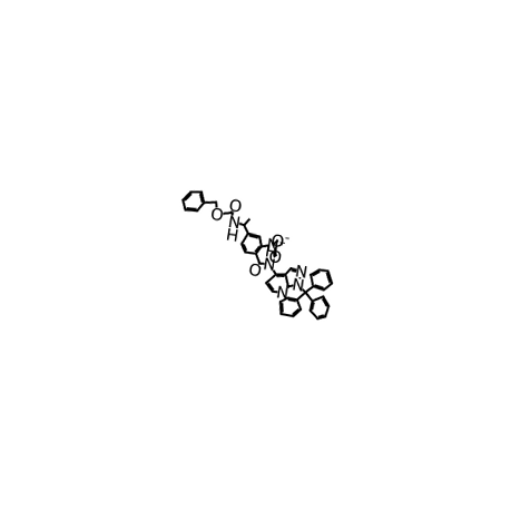 CC(NC(=O)OCc1ccccc1)c1ccc(C(=O)Nc2ccnc3c2cnn3C(c2ccccc2)(c2ccccc2)c2ccccc2)c([N+](=O)[O-])c1